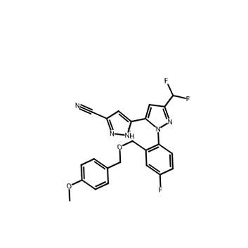 COc1ccc(CO[C@H](C)c2cc(F)ccc2-n2nc(C(F)F)cc2-c2cc(C#N)n[nH]2)cc1